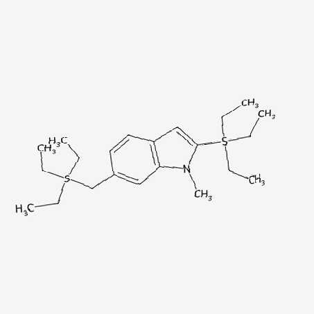 CCS(CC)(CC)Cc1ccc2cc(S(CC)(CC)CC)n(C)c2c1